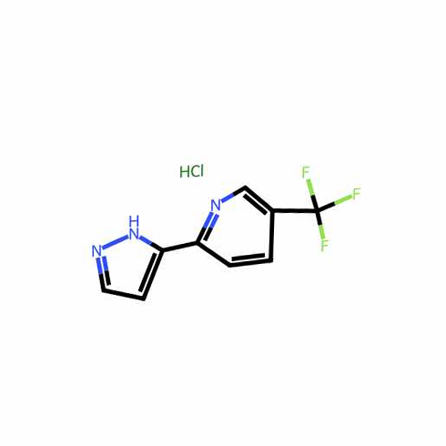 Cl.FC(F)(F)c1ccc(-c2ccn[nH]2)nc1